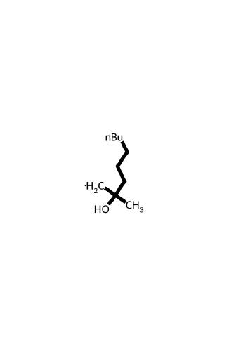 [CH2]C(C)(O)CCCCCCC